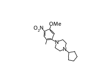 COc1cc(N2CCN(C3CCCC3)CC2)c(C)cc1[N+](=O)[O-]